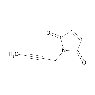 CC#CCN1C(=O)C=CC1=O